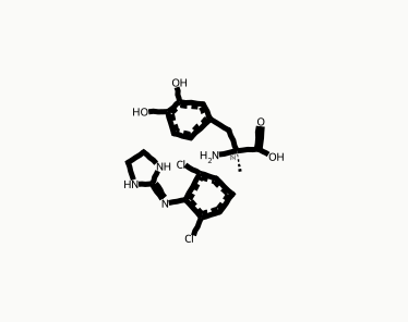 C[C@](N)(Cc1ccc(O)c(O)c1)C(=O)O.Clc1cccc(Cl)c1N=C1NCCN1